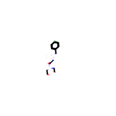 O=C(CNCc1ccc(Cl)cc1)N1CCOCC1